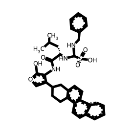 CC(C)C[C@H](NC(NCc1ccccc1)S(=O)(=O)O)C(=O)Nc1c(C2CCc3c(ccc4c3ccc3ccccc34)C2)coc1O